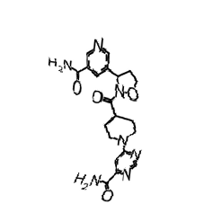 NC(=O)c1cncc(C2CCON2C(=O)C2CCN(c3cc(C(N)=O)ncn3)CC2)c1